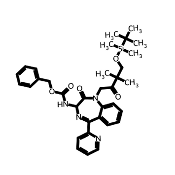 CC(C)(CO[Si](C)(C)C(C)(C)C)C(=O)CN1C(=O)C(NC(=O)OCc2ccccc2)N=C(c2ccccn2)c2ccccc21